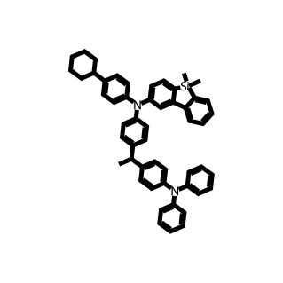 CC(c1ccc(N(c2ccccc2)c2ccccc2)cc1)c1ccc(N(c2ccc(C3CCCCC3)cc2)c2ccc3c(c2)-c2ccccc2[Si]3(C)C)cc1